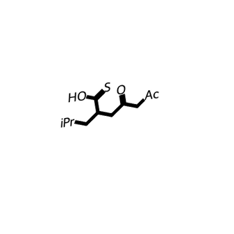 CC(=O)CC(=O)CC(CC(C)C)C(O)=S